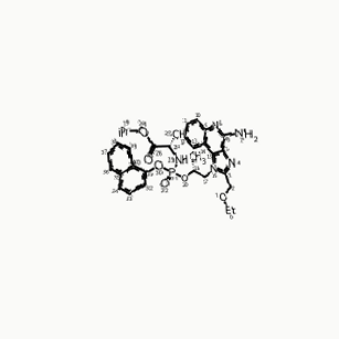 CCOCc1nc2c(N)nc3ccccc3c2n1C[C@@H](C)O[P@@](=O)(N[C@@H](C)C(=O)OC(C)C)Oc1cccc2ccccc12